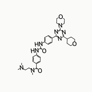 CN(C)CCN(C)C(=O)c1ccc(NC(=O)Nc2ccc(-c3nc(C4CCOCC4)nc(N4CCOCC4)n3)cc2)cc1